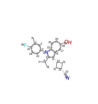 Cc1cc(-n2c(C(C)C)c([C@H]3C[C@@H](C#N)C3)c3cc(O)ccc32)ccc1F